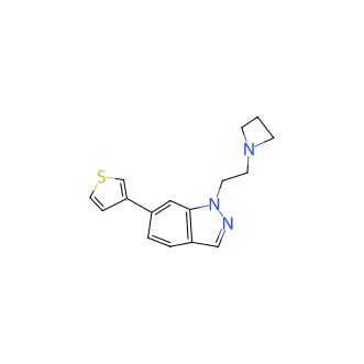 c1cc(-c2ccc3cnn(CCN4CCC4)c3c2)cs1